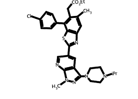 CCOC(=O)Cc1c(C)cc2nc(-c3cnc4c(c3)c(N3CCN(C(C)C)CC3)nn4C)sc2c1-c1ccc(Cl)cc1